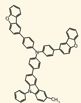 Cc1ccc2c(c1)c1cc(-c3ccc(N(c4ccc(-c5ccc6oc7ccccc7c6c5)cc4)c4ccc(-c5ccc6oc7ccccc7c6c5)cc4)cc3)ccc1n2-c1ccccc1